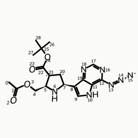 CC(=O)OC[C@@H]1N[C@H](c2c[nH]c3c(N=[N+]=[N-])ncnc23)[CH][C]1C(=O)OC(C)(C)C